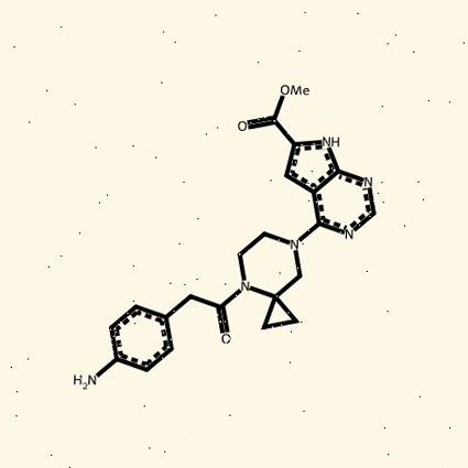 COC(=O)c1cc2c(N3CCN(C(=O)Cc4ccc(N)cc4)C4(CC4)C3)ncnc2[nH]1